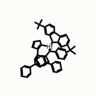 CC(C)(C)c1ccc2c(c1)[CH]([Hf]([C]1=C(c3cc(-c4ccccc4)cc(-c4ccccc4)c3)C=CC1)=[C](c1ccccc1)c1ccccc1)c1cc(C(C)(C)C)ccc1-2